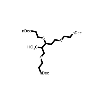 CCCCCCCCCCCCSCCC(SCCCCCCCCCCCC)C(CSCCCCCCCCCCCC)C(=O)O